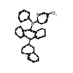 FC(F)(F)c1ccc(N(c2ccccc2)c2c3ccccc3c(-c3ccc4ccccc4c3)c3ccccc23)nc1